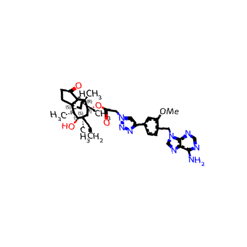 C=C[C@]1(C)C[C@@H](OC(=O)Cn2cc(-c3ccc(Cn4cnc5c(N)ncnc54)c(OC)c3)nn2)[C@]2(C)[C@H](C)CC[C@]3(CCC(=O)[C@H]32)[C@@H](C)[C@@H]1O